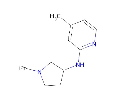 Cc1ccnc(NC2CCN(C(C)C)C2)c1